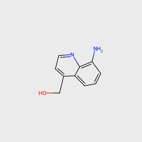 Nc1cccc2c(CO)ccnc12